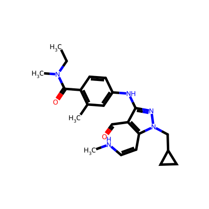 CCN(C)C(=O)c1ccc(Nc2nn(CC3CC3)c(/C=C\NC)c2C=O)cc1C